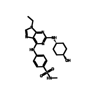 CCn1cnc2c(Nc3ccc(S(=O)(=O)NC)cc3)nc(N[C@H]3CC[C@H](O)CC3)nc21